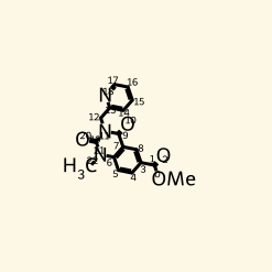 COC(=O)c1ccc2c(c1)c(=O)n(Cc1ccccn1)c(=O)n2C